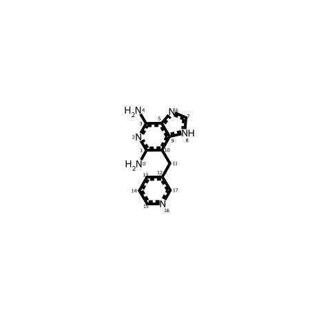 Nc1nc(N)c2nc[nH]c2c1Cc1cccnc1